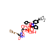 O=C(OP(=O)(O)OC[C@H]1O[C@@H](n2cc(/C=C/Br)c(=O)[nH]c2=O)C[C@@H]1O)C1(N(OCc2ccccc2)c2ccc([N+](=O)[O-])cc2)CCCC1